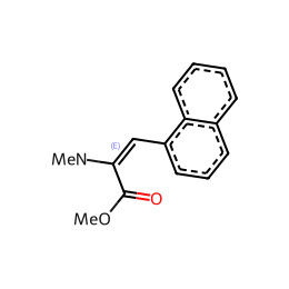 CN/C(=C/c1cccc2ccccc12)C(=O)OC